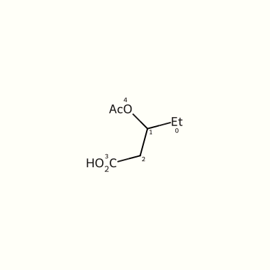 CCC(CC(=O)O)OC(C)=O